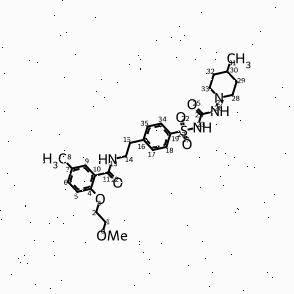 COCCOc1ccc(C)cc1C(=O)NCCc1ccc(S(=O)(=O)NC(=O)NN2CCC(C)CC2)cc1